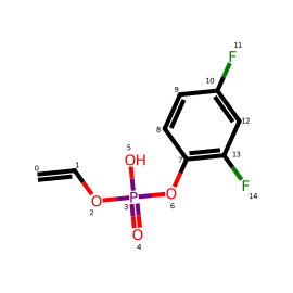 C=COP(=O)(O)Oc1ccc(F)cc1F